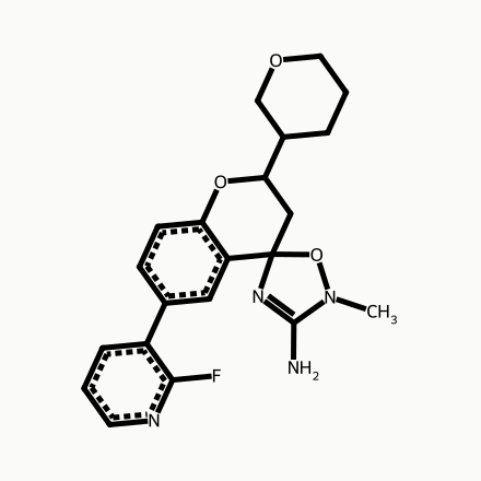 CN1OC2(CC(C3CCCOC3)Oc3ccc(-c4cccnc4F)cc32)N=C1N